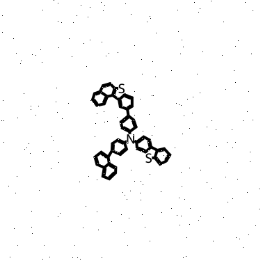 c1ccc2c(-c3ccc(N(c4ccc(-c5ccc6sc7ccc8ccccc8c7c6c5)cc4)c4ccc5c(c4)sc4ccccc45)cc3)cccc2c1